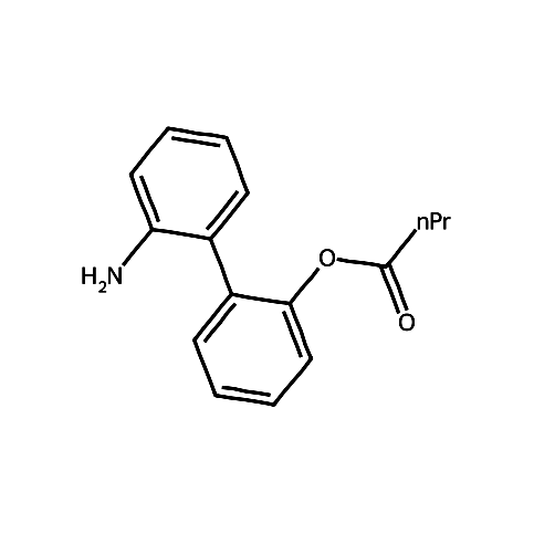 CCCC(=O)Oc1ccccc1-c1ccccc1N